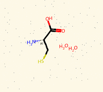 N[C@@H](CS)C(=O)O.O.O